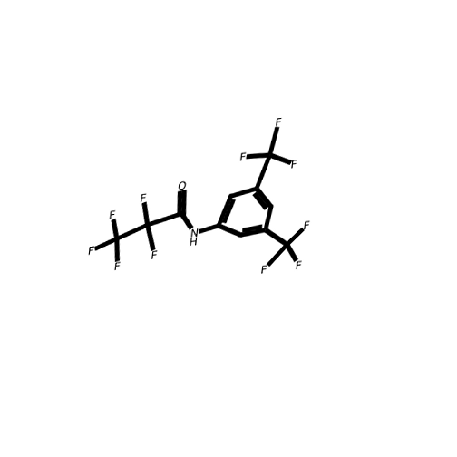 O=C(Nc1cc(C(F)(F)F)cc(C(F)(F)F)c1)C(F)(F)C(F)(F)F